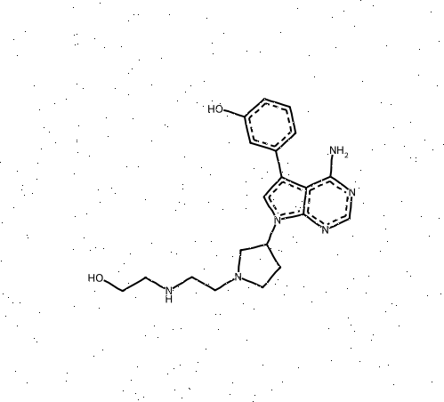 Nc1ncnc2c1c(-c1cccc(O)c1)cn2C1CCN(CCNCCO)C1